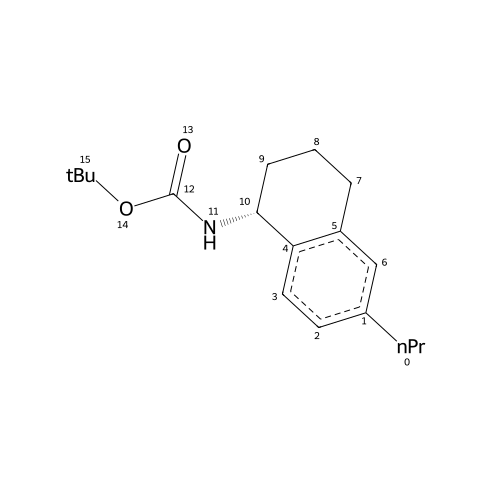 CCCc1ccc2c(c1)CCC[C@H]2NC(=O)OC(C)(C)C